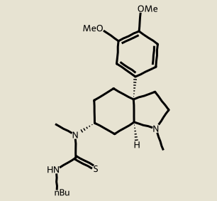 CCCCNC(=S)N(C)[C@@H]1CC[C@@]2(c3ccc(OC)c(OC)c3)CCN(C)[C@H]2C1